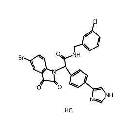 Cl.O=C1C(=O)N(C(C(=O)NCc2cccc(Cl)c2)c2ccc(-c3c[nH]cn3)cc2)c2ccc(Br)cc21